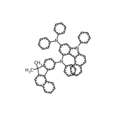 CC1(C)c2ccc(N(c3ccccc3)c3cc(N(c4ccccc4)c4ccccc4)cc4c3c3c5ccccc5ccc3n4-c3ccccc3)cc2-c2c1ccc1ccccc21